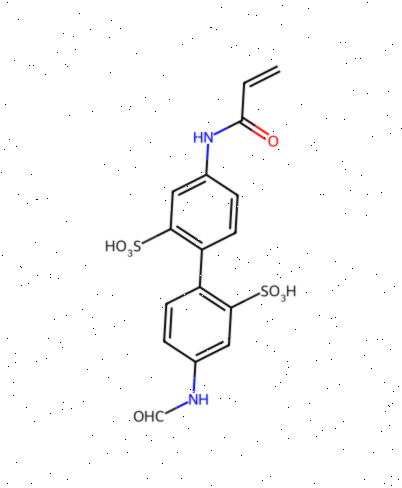 C=CC(=O)Nc1ccc(-c2ccc(NC=O)cc2S(=O)(=O)O)c(S(=O)(=O)O)c1